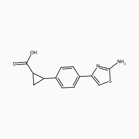 Nc1nc(-c2ccc(C3CC3C(=O)O)cc2)cs1